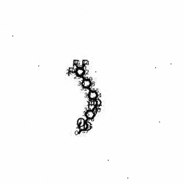 CC1COC(C2CCC(C(F)(F)OC3CCC(C4CCC(c5cc(F)c(F)c(F)c5)CC4)CC3)CC2)OC1